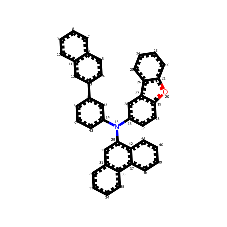 c1cc(-c2ccc3ccccc3c2)cc(N(c2ccc3oc4ccccc4c3c2)c2cc3ccccc3c3ccccc23)c1